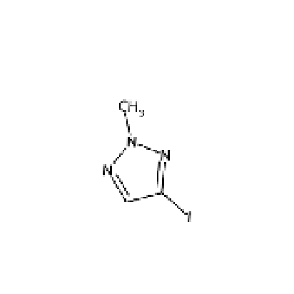 Cn1ncc(I)n1